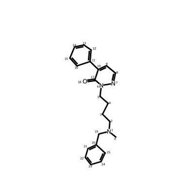 CN(CCCCn1nccc(-c2ccccc2)c1=O)Cc1ccccc1